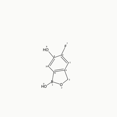 OB1OCc2cc(F)c(O)cc21